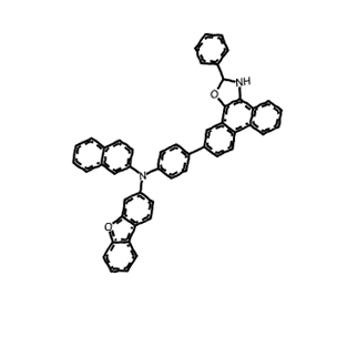 c1ccc(C2Nc3c(c4cc(-c5ccc(N(c6ccc7ccccc7c6)c6ccc7c(c6)oc6ccccc67)cc5)ccc4c4ccccc34)O2)cc1